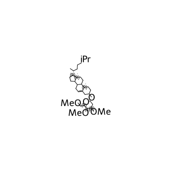 COC[C@H]1OC(OC2CC[C@@]3(C)C(=CCC4C3CC[C@@]3(C)C4CC[C@@H]3C(C)CCCC(C)C)C2)C[C@@H](OC)[C@@H]1OC